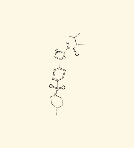 CC1CCN(S(=O)(=O)c2ccc(-c3csc(NC(=O)C(C)C(C)C)n3)cc2)CC1